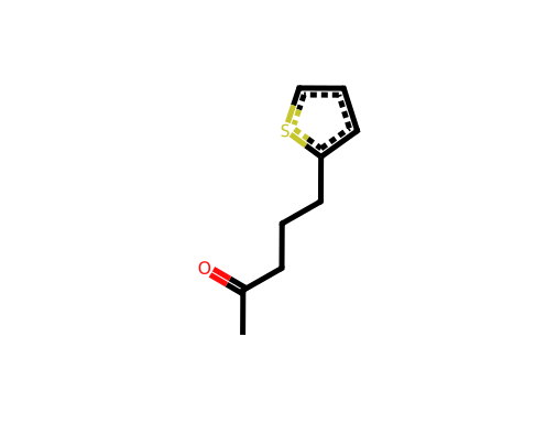 CC(=O)CCCc1cccs1